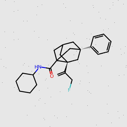 C=C(CF)[C@]12CC3CC1(C(=O)NC1CCCCC1)C[C@@](c1ccccc1)(C3)C2